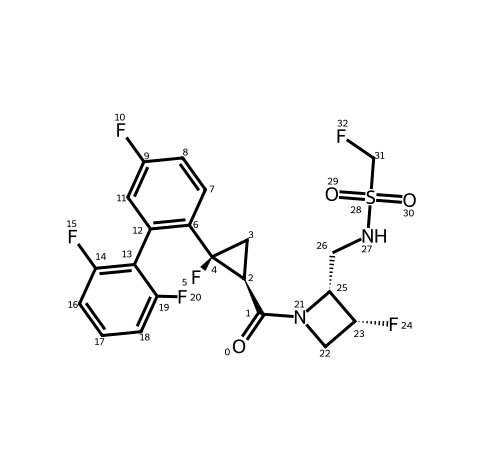 O=C([C@@H]1C[C@@]1(F)c1ccc(F)cc1-c1c(F)cccc1F)N1C[C@@H](F)[C@H]1CNS(=O)(=O)CF